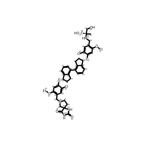 CCOc1cc(O[C@H]2CCc3c(-c4cccc5c4CC[C@@H]5Oc4cc(OCC)c(CN5CCC6(C5)NC(=O)NC6=O)cc4Cl)cccc32)c(Cl)cc1CN[C@@](C)(CO)C(=O)O